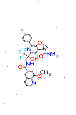 COc1cc(C(=O)NCC(O)(c2cc3c(c(-c4ccc(F)cc4)n2)OC2C[C@@]32C(N)=O)C(F)(F)F)cc2cccnc12